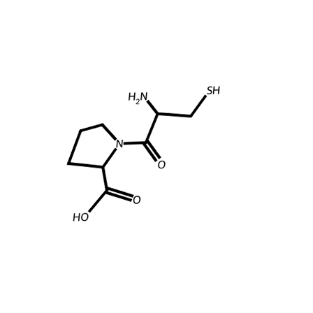 NC(CS)C(=O)N1CCCC1C(=O)O